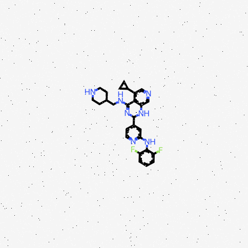 Fc1cccc(F)c1Nc1cc(C2N=C(NCC3CCNCC3)c3c(cncc3C3CC3)N2)ccn1